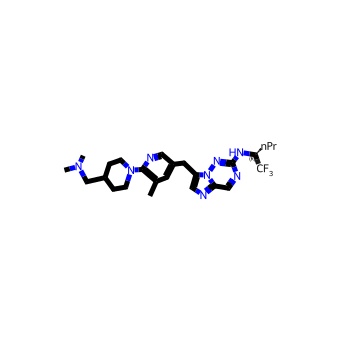 CCC[C@@H](Nc1ncc2ncc(Cc3cnc(N4CCC(CN(C)C)CC4)c(C)c3)n2n1)C(F)(F)F